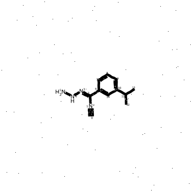 C#[N+]/C(=N\NN)c1cccc(C(C)C)c1